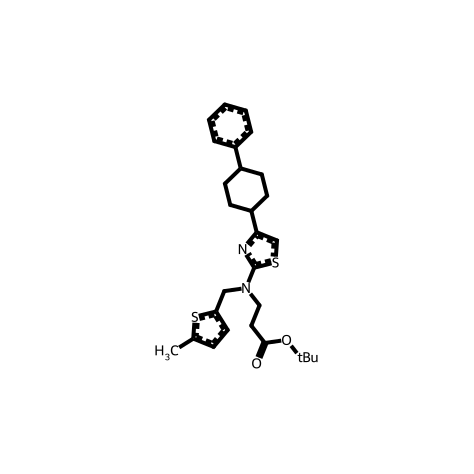 Cc1ccc(CN(CCC(=O)OC(C)(C)C)c2nc(C3CCC(c4ccccc4)CC3)cs2)s1